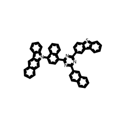 c1ccc2cc(-c3nc(-c4ccc5sc6ccccc6c5c4)nc(-c4ccc(-n5c6ccccc6c6cc7ccccc7cc65)c5ccccc45)n3)ccc2c1